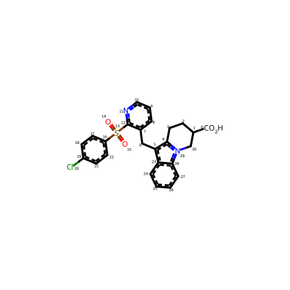 O=C(O)C1CCc2c(Cc3cccnc3S(=O)(=O)c3ccc(Cl)cc3)c3ccccc3n2C1